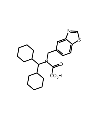 O=C(O)C(=O)N(Cc1ccc2scnc2c1)C(C1CCCCC1)C1CCCCC1